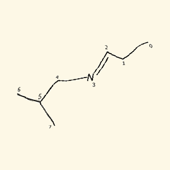 CCC=NCC(C)C